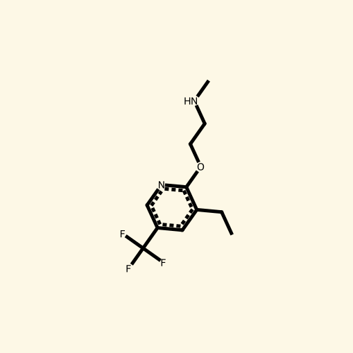 CCc1cc(C(F)(F)F)cnc1OCCNC